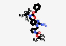 CC(N(Cc1ccc2c(c1)nc(N)n2CC1CCCN1C(=O)OC(C)(C)C)C(=O)OCc1ccccc1)C(C)(C)C